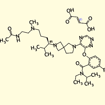 CCN(C(=O)c1cc(F)ccc1Oc1nncnc1N1CCC2(C1)CN([C@H](CCCN(C)CCNC(C)=O)C(C)C)C2)C(C)C.O=C(O)/C=C/C(=O)O